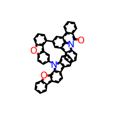 O=c1c2ccccc2c2cc(-c3cccc4oc5ccc(-n6c7ccccc7c7ccc8c9ccccc9oc8c76)cc5c34)cc3c4ccccc4n1c23